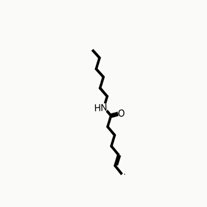 [CH2]C=CCCCC(=O)NCCCCCC